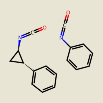 O=C=N[C@@H]1C[C@H]1c1ccccc1.O=C=Nc1ccccc1